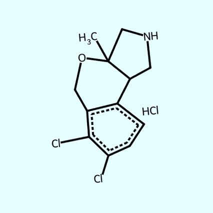 CC12CNCC1c1ccc(Cl)c(Cl)c1CO2.Cl